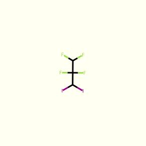 FC(F)C(F)(F)C(I)I